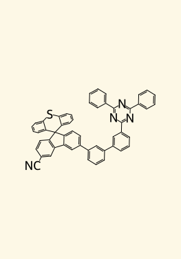 N#Cc1ccc2c(c1)-c1cc(-c3cccc(-c4cccc(-c5nc(-c6ccccc6)nc(-c6ccccc6)n5)c4)c3)ccc1C21c2ccccc2Sc2ccccc21